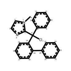 Cn1ccnc1C(Cl)(c1ccccc1)c1ccccc1-c1ccccc1